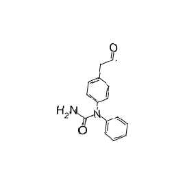 NC(=O)N(c1ccccc1)c1ccc(C[C]=O)cc1